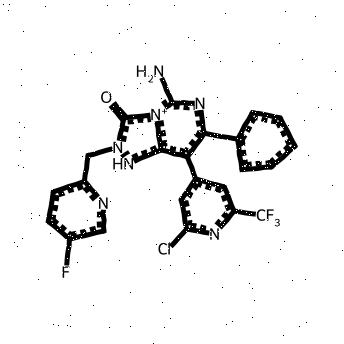 Nc1nc(-c2ccccc2)c(-c2cc(Cl)nc(C(F)(F)F)c2)c2[nH]n(Cc3ccc(F)cn3)c(=O)[n+]12